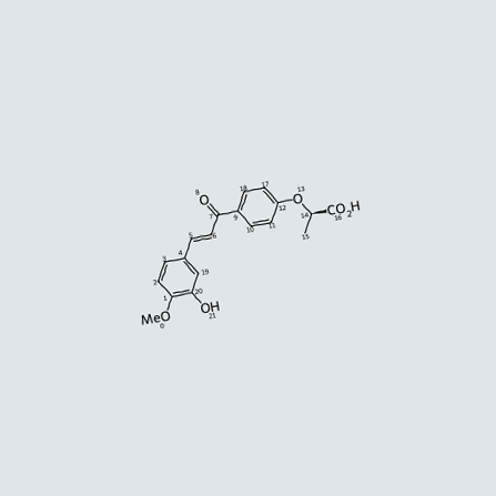 COc1ccc(/C=C/C(=O)c2ccc(O[C@H](C)C(=O)O)cc2)cc1O